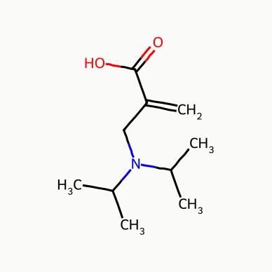 C=C(CN(C(C)C)C(C)C)C(=O)O